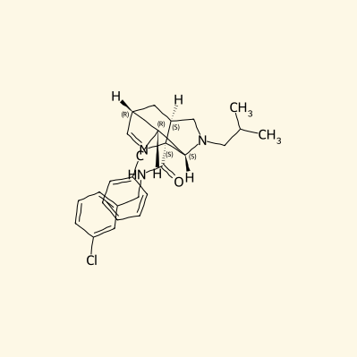 CC(C)CN1C[C@@H]2C[C@H]3C=N[C@]2(C(=O)NCc2cccc(Cl)c2)[C@@H]1[C@@H]3Cc1ccccc1